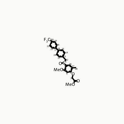 COC(=O)COc1cc(OC)c([S+]([O-])Cc2ccc(-c3ccc(C(F)(F)F)cc3)cc2)cc1C